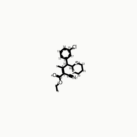 CCOC(=O)C(C#N)=C(C)C(c1cccc(Cl)c1)C1SCCCS1